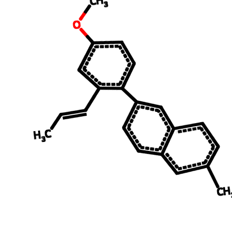 C/C=C/c1cc(OC)ccc1-c1ccc2cc(C)ccc2c1